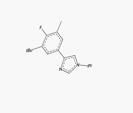 Cc1cc(-c2cn(C(C)C)cn2)cc(C(C)(C)C)c1F